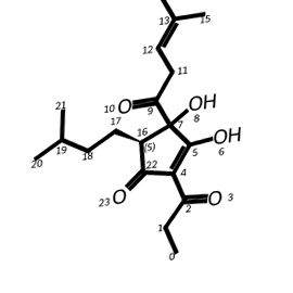 CCC(=O)C1=C(O)C(O)(C(=O)CC=C(C)C)[C@H](CCC(C)C)C1=O